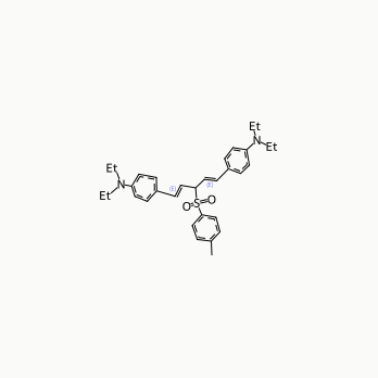 CCN(CC)c1ccc(/C=C/C(/C=C/c2ccc(N(CC)CC)cc2)S(=O)(=O)c2ccc(C)cc2)cc1